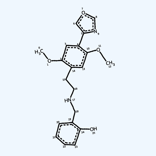 COc1cc(-c2cocn2)c(OC)cc1CCNCc1ccccc1O